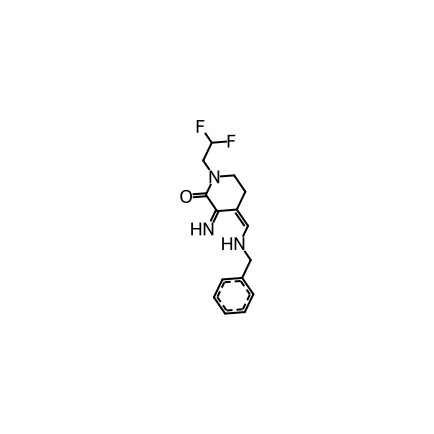 N=C1C(=O)N(CC(F)F)CC/C1=C/NCc1ccccc1